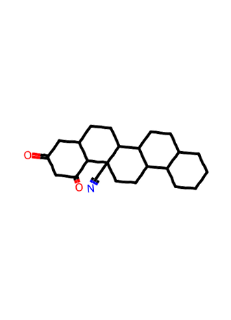 N#CC12CCC3C4CCCCC4CCC3C1CCC1CC(=O)CC(=O)C12